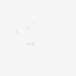 CC(C)n1c(Br)nc(C(=O)O)c1C(Nc1ccc2c(c1)OCO2)c1ccc(F)cc1